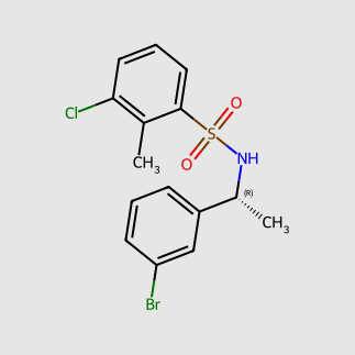 Cc1c(Cl)cccc1S(=O)(=O)N[C@H](C)c1cccc(Br)c1